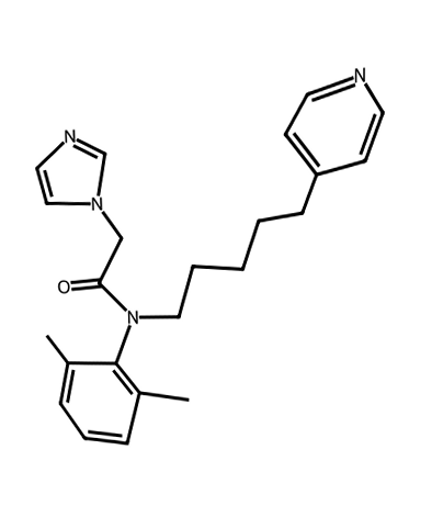 Cc1cccc(C)c1N(CCCCCc1ccncc1)C(=O)Cn1ccnc1